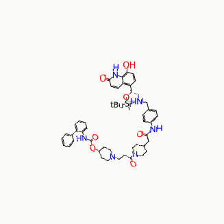 CC(C)(C)[Si](C)(C)O[C@@H](CNCc1ccc(NC(=O)CC2CCN(C(=O)CCN3CCC(OC(=O)Nc4ccccc4-c4ccccc4)CC3)CC2)cc1)c1ccc(O)c2[nH]c(=O)ccc12